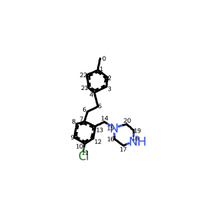 Cc1ccc(CCc2ccc(Cl)cc2CN2CCNCC2)cc1